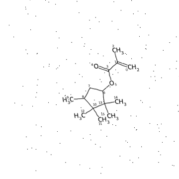 C=C(C)C(=O)OC1CC(C)C(C)(C)C1(C)C